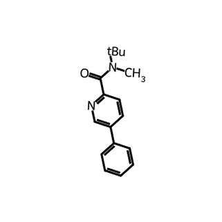 CN(C(=O)c1ccc(-c2ccccc2)cn1)C(C)(C)C